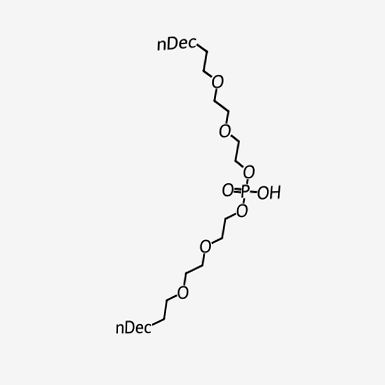 CCCCCCCCCCCCOCCOCCOP(=O)(O)OCCOCCOCCCCCCCCCCCC